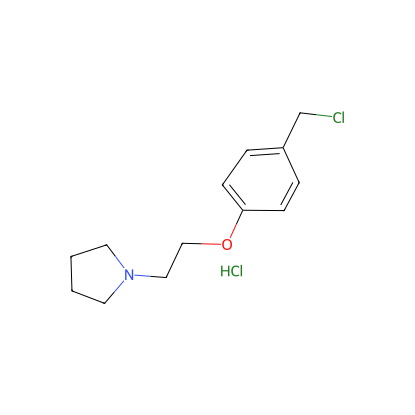 Cl.ClCc1ccc(OCCN2CCCC2)cc1